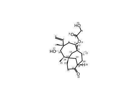 C=C[C@]1(C)C[C@@H](OC(=O)CO)[C@@]2(C)C[C@@]3(CCC(=O)[C@@H](C[C@H]2C)C3)[C@@H](C)[C@@H]1O